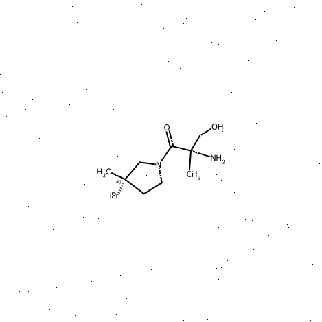 CC(C)[C@@]1(C)CCN(C(=O)C(C)(N)CO)C1